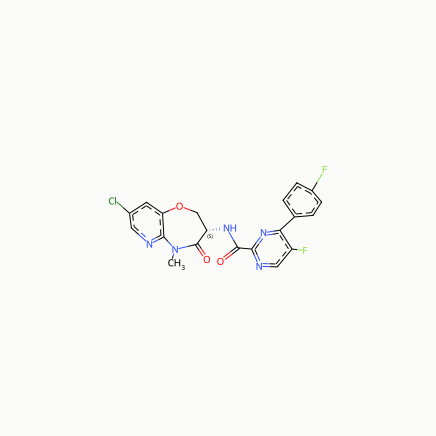 CN1C(=O)[C@@H](NC(=O)c2ncc(F)c(-c3ccc(F)cc3)n2)COc2cc(Cl)cnc21